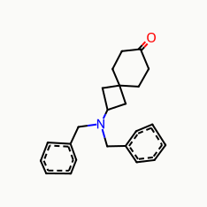 O=C1CCC2(CC1)CC(N(Cc1ccccc1)Cc1ccccc1)C2